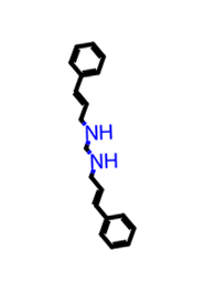 C(=C\c1ccccc1)/CNCNC/C=C/c1ccccc1